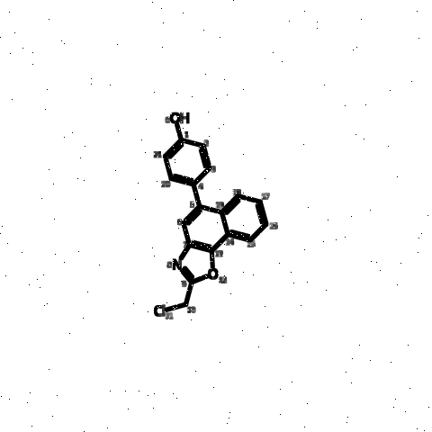 Oc1ccc(-c2cc3nc(CCl)oc3c3ccccc23)cc1